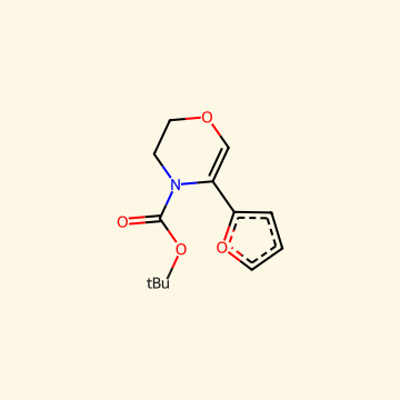 CC(C)(C)OC(=O)N1CCOC=C1c1ccco1